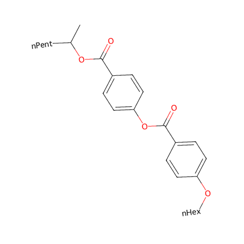 CCCCCCOc1ccc(C(=O)Oc2ccc(C(=O)OC(C)CCCCC)cc2)cc1